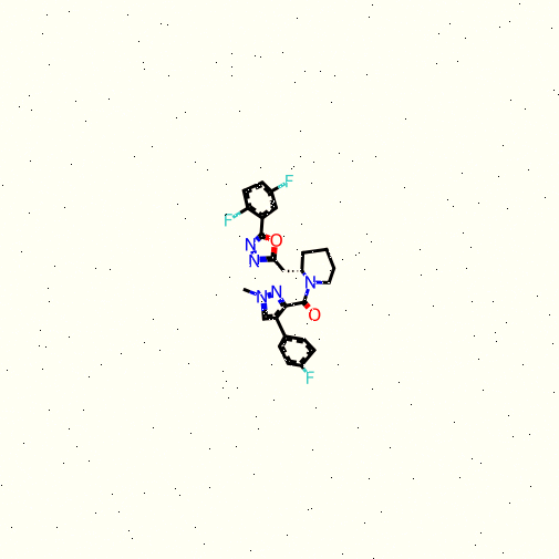 Cn1cc(-c2ccc(F)cc2)c(C(=O)N2CCCC[C@H]2Cc2nnc(-c3cc(F)ccc3F)o2)n1